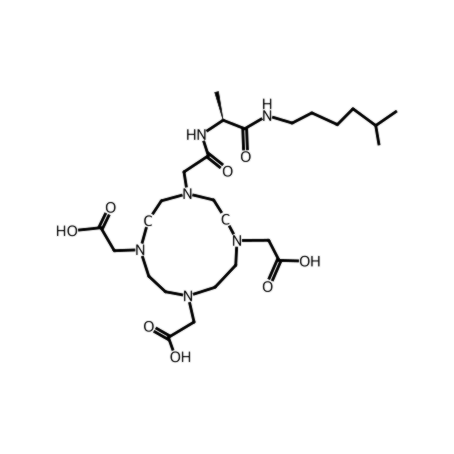 CC(C)CCCCNC(=O)[C@H](C)NC(=O)CN1CCN(CC(=O)O)CCN(CC(=O)O)CCN(CC(=O)O)CC1